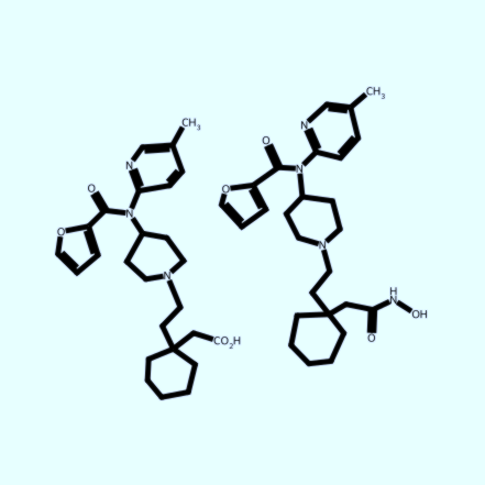 Cc1ccc(N(C(=O)c2ccco2)C2CCN(CCC3(CC(=O)NO)CCCCC3)CC2)nc1.Cc1ccc(N(C(=O)c2ccco2)C2CCN(CCC3(CC(=O)O)CCCCC3)CC2)nc1